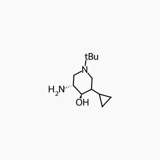 CC(C)(C)N1CC(C2CC2)[C@@H](O)[C@H](N)C1